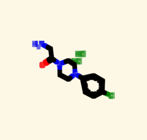 Cl.Cl.NCC(=O)N1CCN(c2ccc(Cl)cc2)CC1